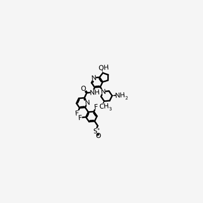 C[C@@H]1C[C@H](N)CN(c2c(NC(=O)c3ccc(F)c(-c4c(F)cc(C[S+]=O)cc4F)n3)cnc3c2CC[C@H]3O)C1